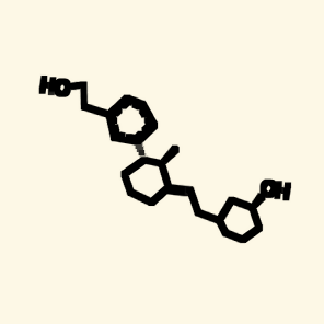 C[C@H]1/C(=C/CC2CCC[C@H](O)C2)CCC[C@@H]1c1cccc(CCO)c1